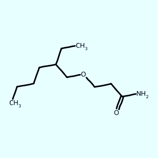 CCCCC(CC)COCCC(N)=O